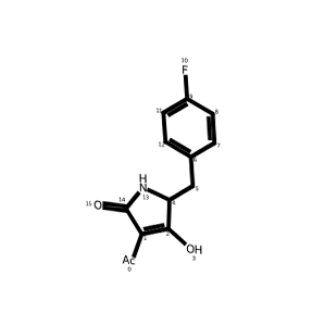 CC(=O)C1=C(O)C(Cc2ccc(F)cc2)NC1=O